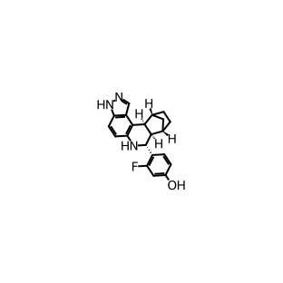 Oc1ccc([C@@H]2Nc3ccc4[nH]ncc4c3[C@H]3[C@@H]4CC[C@@H](C4)[C@H]32)c(F)c1